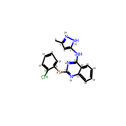 Cc1cc(Nc2nc(Sc3ccccc3Cl)nc3ccccc23)[nH]n1